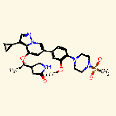 COc1cc(-c2cc(O[C@H](C)C3CNC(=O)C3)c3c(C4CC4)cnn3c2)ccc1N1CCN(S(C)(=O)=O)CC1